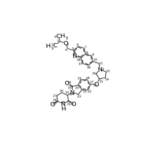 CC(C)OCc1ccc2cc(CN3CCC(Oc4ccc5c(c4)CN(C4CCC(=O)NC4=O)C5=O)C3)ccc2n1